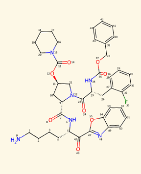 NCCCC[C@H](NC(=O)[C@@H]1C[C@@H](OC(=O)N2CCCCC2)CN1C(=O)[C@@H](Cc1ccccc1F)NC(=O)OCc1ccccc1)C(=O)c1nc2ccccc2o1